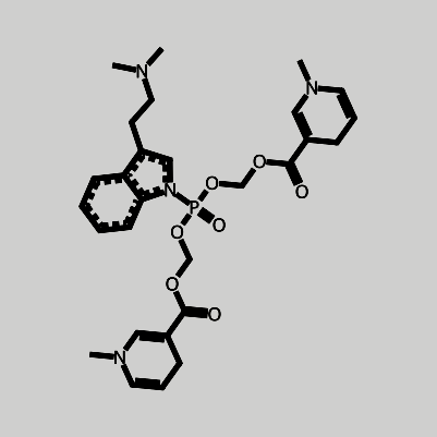 CN1C=CCC(C(=O)OCOP(=O)(OCOC(=O)C2=CN(C)C=CC2)n2cc(CCN(C)C)c3ccccc32)=C1